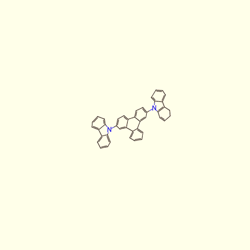 C1=Cc2c(c3ccccc3n2-c2ccc3c4ccc(-n5c6ccccc6c6ccccc65)cc4c4ccccc4c3c2)CC1